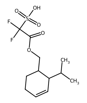 CC(C)C1C=CCCC1COC(=O)C(F)(F)S(=O)(=O)O